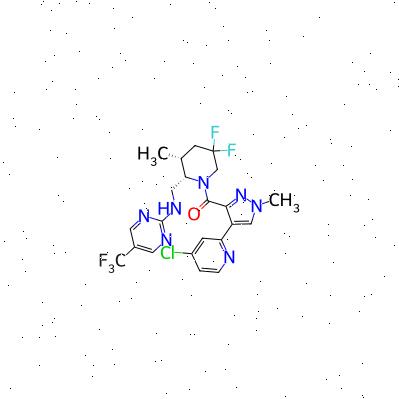 C[C@@H]1CC(F)(F)CN(C(=O)c2nn(C)cc2-c2cc(Cl)ccn2)[C@@H]1CNc1ncc(C(F)(F)F)cn1